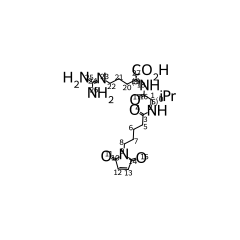 CC(C)[C@H](NC(=O)CCCCN1C(=O)C=CC1=O)C(=O)N[C@@H](CCCN=C(N)N)C(=O)O